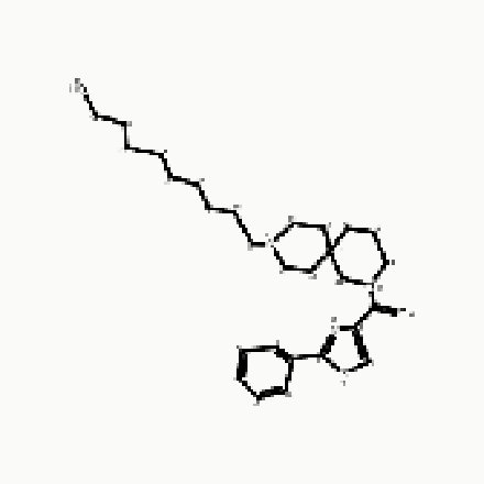 O=C(c1csc(-c2ccccc2)n1)N1CCCC2(CCN(CCCCCCCCCO)CC2)C1